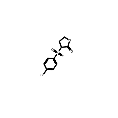 O=C1OCCC1S(=O)(=O)c1ccc(Br)cc1